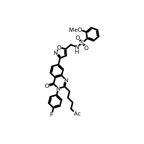 COc1ccccc1S(=O)(=O)NCc1cc(-c2ccc3c(=O)n(-c4ccc(F)cc4)c(CCCCC(C)=O)nc3c2)no1